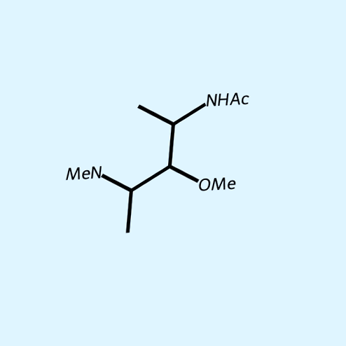 CNC(C)C(OC)C(C)NC(C)=O